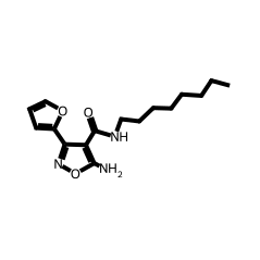 CCCCCCCCNC(=O)c1c(-c2ccco2)noc1N